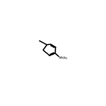 CC(=O)NC1=CCC(C)C=C1